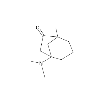 CN(C)C12CCCC(C)(C1)C(=O)C2